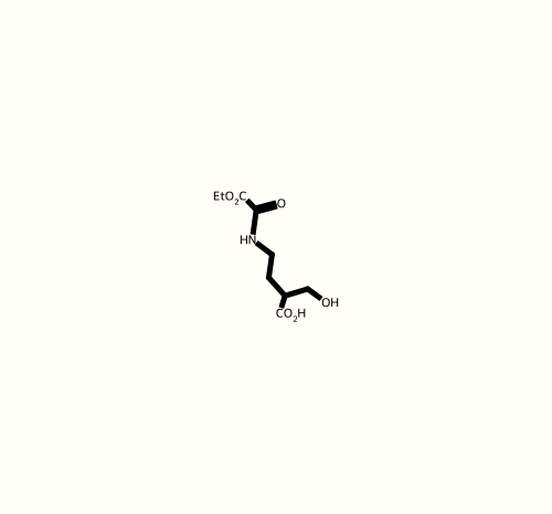 CCOC(=O)C(=O)NCCC(CO)C(=O)O